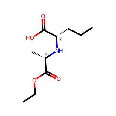 CCC[C@H](N[C@@H](C)C(=O)OCC)C(=O)O